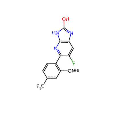 COc1cc(C(F)(F)F)ccc1-c1nc2[nH]c(O)nc2cc1F